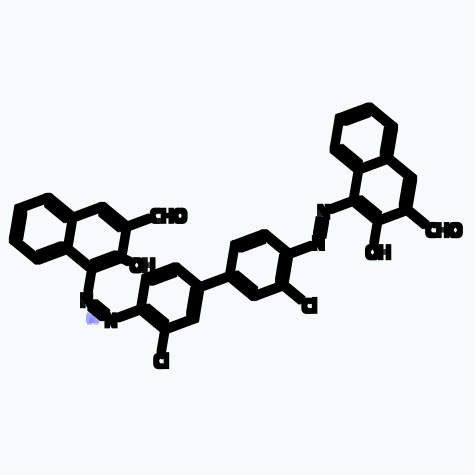 O=Cc1cc2ccccc2c(N=Nc2ccc(-c3ccc(/N=N\c4c(O)c(C=O)cc5ccccc45)c(Cl)c3)cc2Cl)c1O